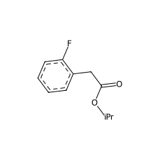 CC(C)OC(=O)Cc1ccccc1F